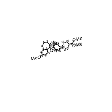 COc1ccc2c(c1)CCCC(C(C)(C)C)C2(O)c1ccc(N2CCC(C(OC)OC)CC2)cc1